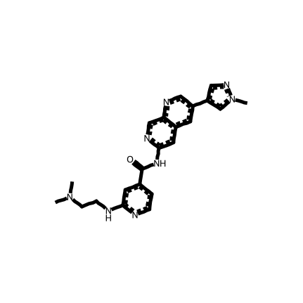 CN(C)CCNc1cc(C(=O)Nc2cc3cc(-c4cnn(C)c4)cnc3cn2)ccn1